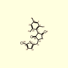 Cc1cc(C)c(C2C(=O)CC(Cc3ccc(Cl)s3)C2=O)c(C)c1